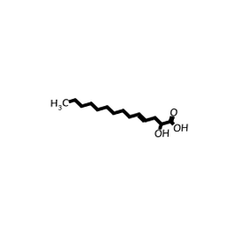 CCCCCCCCCC=CCC(O)C(=O)O